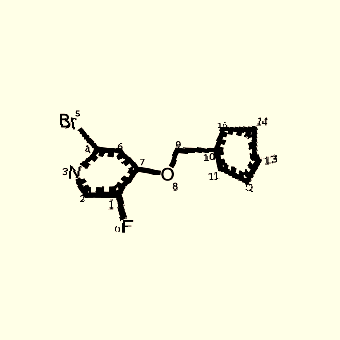 Fc1cnc(Br)cc1OCc1ccccc1